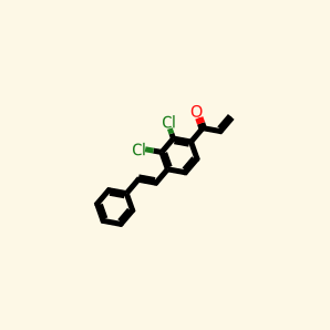 C=CC(=O)c1ccc(C=Cc2ccccc2)c(Cl)c1Cl